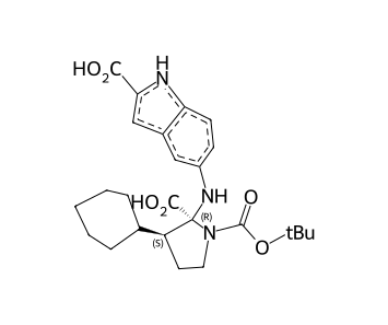 CC(C)(C)OC(=O)N1CC[C@@H](C2CCCCC2)[C@]1(Nc1ccc2[nH]c(C(=O)O)cc2c1)C(=O)O